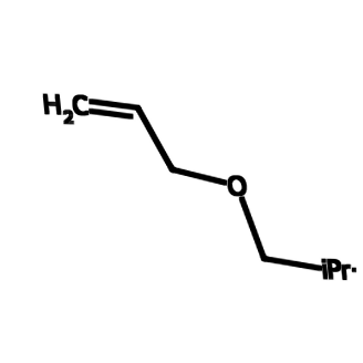 C=CCOC[C](C)C